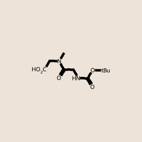 CN(CC(=O)O)C(=O)CNC(=O)OC(C)(C)C